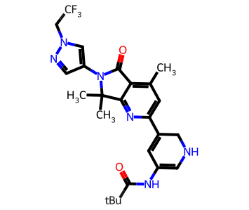 Cc1cc(C2=CC(NC(=O)C(C)(C)C)=CNC2)nc2c1C(=O)N(c1cnn(CC(F)(F)F)c1)C2(C)C